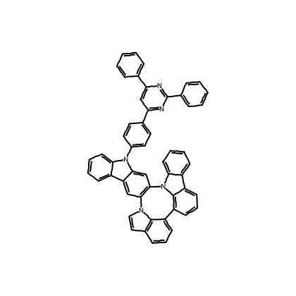 c1ccc(-c2cc(-c3ccc(-n4c5ccccc5c5cc6c(cc54)n4c5ccccc5c5cccc(c7cccc8ccn6c87)c54)cc3)nc(-c3ccccc3)n2)cc1